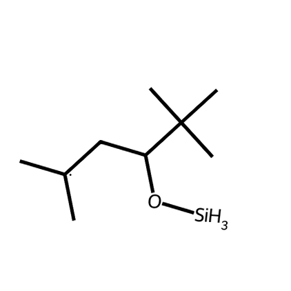 C[C](C)CC(O[SiH3])C(C)(C)C